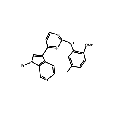 COc1ccc(C)cc1Nc1nccc(-c2cn(C(C)C)c3cnccc23)n1